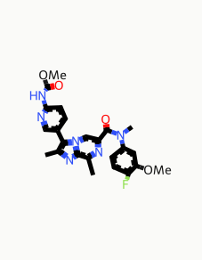 COC(=O)Nc1ccc(-c2c(C)nc3c(C)nc(C(=O)N(C)c4ccc(F)c(OC)c4)cn23)cn1